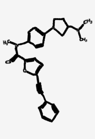 CN(C(=O)c1ccc(C#Cc2ccccc2)o1)c1ccc(N2CCC(N(C)C)C2)cc1